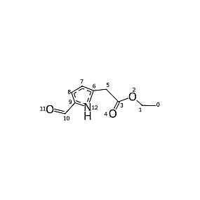 CCOC(=O)Cc1ccc(C=O)[nH]1